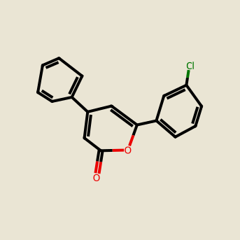 O=c1cc(-c2ccccc2)cc(-c2cccc(Cl)c2)o1